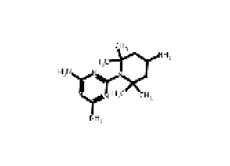 CC1(C)CC(N)CC(C)(C)N1c1nc(N)nc(N)n1